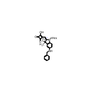 CCCCCCN1/C(=C/c2c(O)c(=O)c2=O)C(C)(C)c2cc(NCc3ccccc3)ccc21